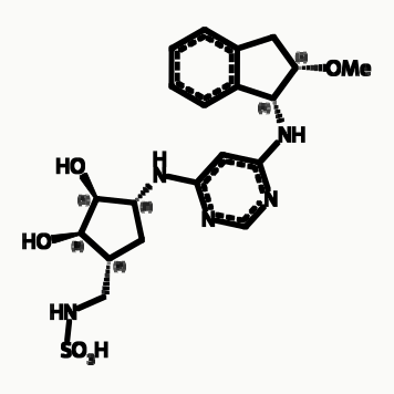 CO[C@H]1Cc2ccccc2[C@H]1Nc1cc(N[C@@H]2C[C@H](CNS(=O)(=O)O)[C@@H](O)[C@H]2O)ncn1